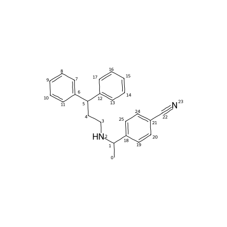 CC(NCCC(c1ccccc1)c1ccccc1)c1ccc(C#N)cc1